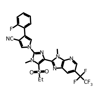 CCS(=O)(=O)c1c(-c2nc3cc(C(F)(F)C(F)(F)F)cnc3n2C)nc(-n2cc(C#N)c(-c3ccccc3F)c2)n1C